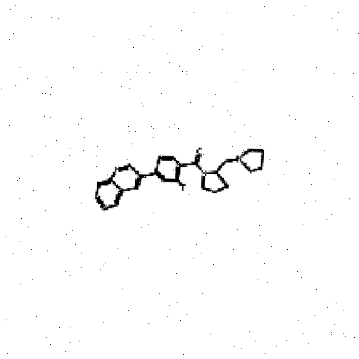 O=C(c1ccc(-c2cnc3ccccc3c2)cc1F)N1CCCC1CN1CCCC1